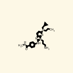 CCCN(CC1CC1)c1ccc2nc(Nc3ccc(C(=O)NC)cc3)n(CCCN)c2n1